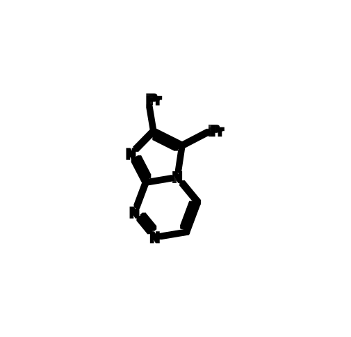 CC(C)c1nc2nnccn2c1C(C)C